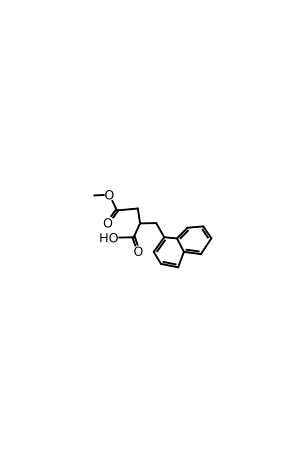 COC(=O)CC(Cc1cccc2ccccc12)C(=O)O